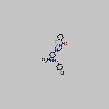 O=C(c1ccccc1F)N1CCN(c2ccc([N+](=O)[O-])c(NCc3ccc(Cl)cc3)c2)CC1